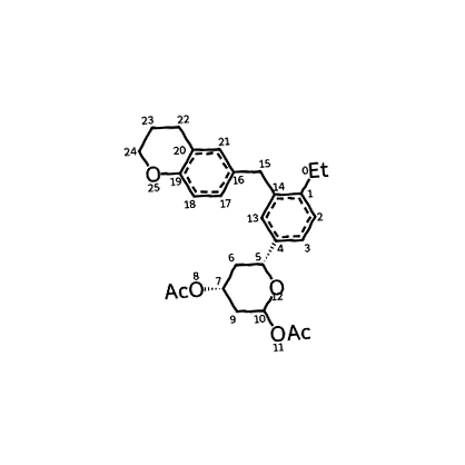 CCc1ccc([C@H]2C[C@@H](OC(C)=O)CC(OC(C)=O)O2)cc1Cc1ccc2c(c1)CCCO2